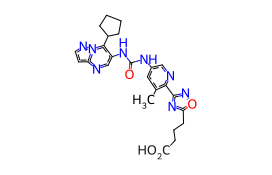 Cc1cc(NC(=O)Nc2cnc3ccnn3c2C2CCCC2)cnc1-c1noc(CCCC(=O)O)n1